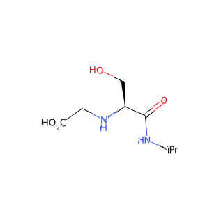 CC(C)NC(=O)[C@H](CO)NCC(=O)O